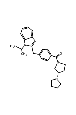 CC(C)n1c(Cc2ccc(C(=O)N3CC[C@H](N4CCCC4)C3)cc2)nc2ccccc21